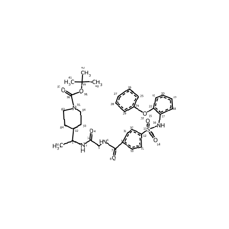 CC(NC(=O)CNC(=O)c1ccc(S(=O)(=O)Nc2ccccc2Oc2ccccc2)cc1)C1CCN(C(=O)OC(C)(C)C)CC1